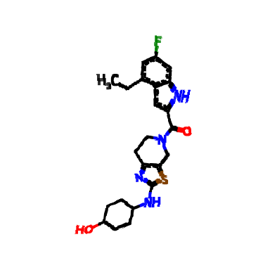 CCc1cc(F)cc2[nH]c(C(=O)N3CCc4nc(NC5CCC(O)CC5)sc4C3)cc12